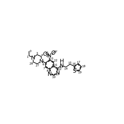 CCN1CCN(c2cc3ncnc(NCCc4cccs4)c3cc2[N+](=O)[O-])CC1